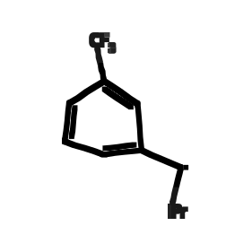 CC(C)[CH]c1cccc(C(F)(F)F)c1